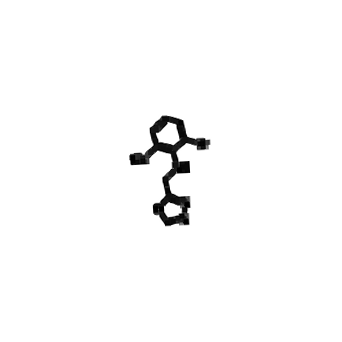 CC(C)(C)c1cccc(Br)c1NCc1nnco1